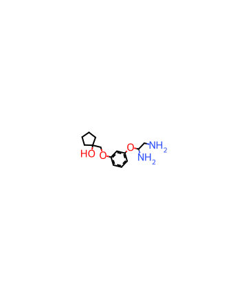 NC[C@@H](N)Oc1cccc(OCC2(O)CCCC2)c1